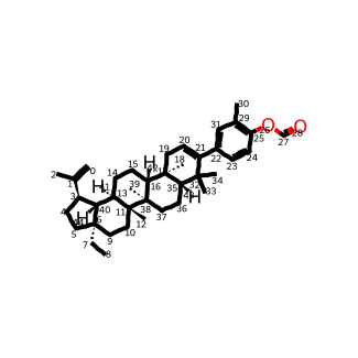 C=C(C)[C@@H]1CC[C@]2(CC)CC[C@]3(C)[C@H](CC[C@@H]4[C@@]5(C)CC=C(c6ccc(OC=O)c(C)c6)C(C)(C)[C@@H]5CC[C@]43C)[C@@H]12